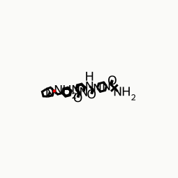 CC(C)(N)C(=O)N1CCN(C(=O)Nc2ccn(-c3ccc(CCN4C5CCC4CC(N)C5)cc3)c(=O)n2)CC1